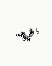 Cc1ncc(C(=O)NCc2ncccc2OC2CCCC2)cc1-c1ccn2nc(N)nc2c1